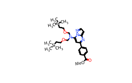 COC(=O)c1ccc(-c2cc(N(COCC[Si](C)(C)C)COCC[Si](C)(C)C)n3nccc3n2)cc1